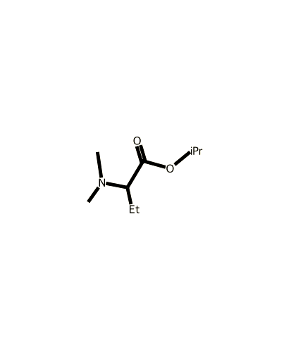 CCC(C(=O)OC(C)C)N(C)C